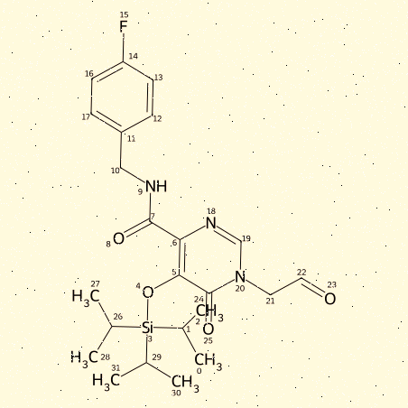 CC(C)[Si](Oc1c(C(=O)NCc2ccc(F)cc2)ncn(CC=O)c1=O)(C(C)C)C(C)C